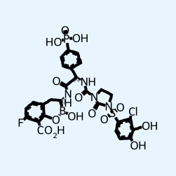 O=C(O)c1c(F)ccc2c1OB(O)[C@@H](NC(=O)[C@H](NC(=O)N1CCN(S(=O)(=O)c3ccc(O)c(O)c3Cl)C1=O)c1ccc(P(=O)(O)O)cc1)C2